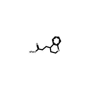 CCCCCC(=O)CCC1CCOc2ccccc21